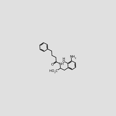 Nc1cccc(CC(NC(=O)CCCc2ccccc2)C(=O)O)c1O